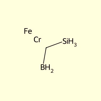 BC[SiH3].[Cr].[Fe]